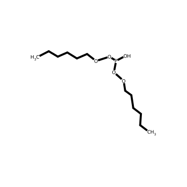 CCCCCCOOP(O)OOCCCCCC